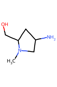 CN1CC(N)CC1CO